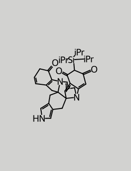 CC(C)[Si](C(C)C)(C(C)C)C1C(=O)C=C2C(=CC34Cc5c[nH]cc5CC35CC3=C(C(=O)CC=C3)N5C=PCN24)C1=O